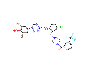 O=C(c1cccc(C(F)(F)F)c1)N1CCN(Cc2cc(Cl)ccc2OCc2ncc(-c3cc(Br)c(O)c(Br)c3)nn2)CC1